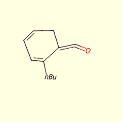 [CH2]CCCC1=CC=CCC1=C=O